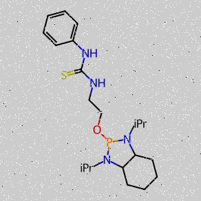 CC(C)N1C2CCCCC2N(C(C)C)P1OCCNC(=S)Nc1ccccc1